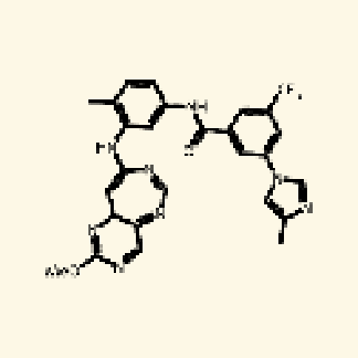 COC1=NC2C=C(Nc3cc(NC(=O)c4cc(-n5cnc(C)c5)cc(C(F)(F)F)c4)ccc3C)N=CN=C2C=N1